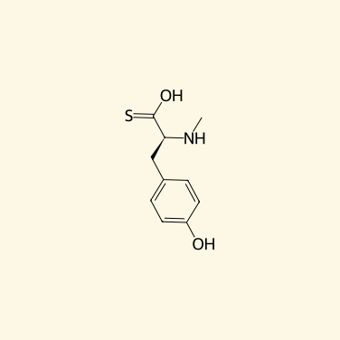 CN[C@@H](Cc1ccc(O)cc1)C(O)=S